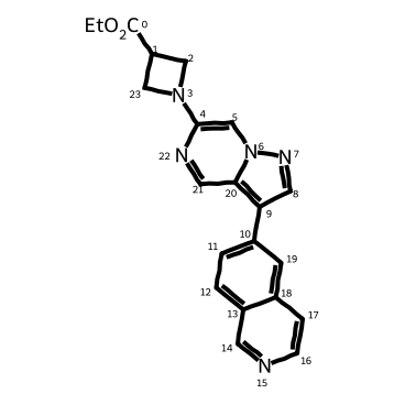 CCOC(=O)C1CN(c2cn3ncc(-c4ccc5cnccc5c4)c3cn2)C1